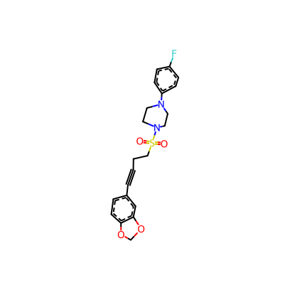 O=S(=O)(CCC#Cc1ccc2c(c1)OCO2)N1CCN(c2ccc(F)cc2)CC1